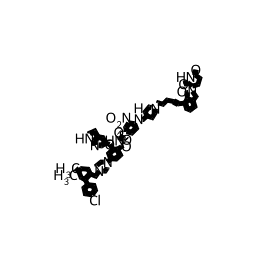 CC1(C)CCC(CN2CCN(c3ccc(C(=O)NS(=O)(=O)c4ccc(NCC5CCN(CCCC#Cc6cccc7c6C(=O)N(C6CCC(=O)NC6=O)C7)CC5)c([N+](=O)[O-])c4)c(Oc4cnc5[nH]ccc5c4)c3)CC2)=C(c2ccc(Cl)cc2)C1